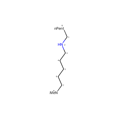 [CH2]CCCCCNCCCCCNC